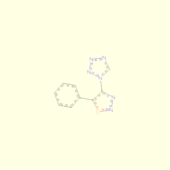 [c]1nnnn1-c1nnoc1-c1ccccc1